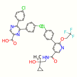 CC(O)(CNC(=O)c1cnc(OCC(F)(F)F)c(-c2ccc(Cl)cc2)c1)C1CC1.O=C(O)c1cnc(-c2ccc(Cl)cc2)c(-c2ccc(Cl)cc2)n1